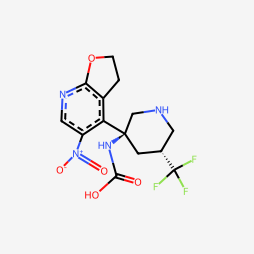 O=C(O)N[C@@]1(c2c([N+](=O)[O-])cnc3c2CCO3)CNC[C@H](C(F)(F)F)C1